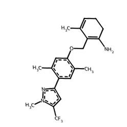 CC1=CCCC(N)=C1COc1cc(C)c(-c2cc(C(F)(F)F)n(C)n2)cc1C